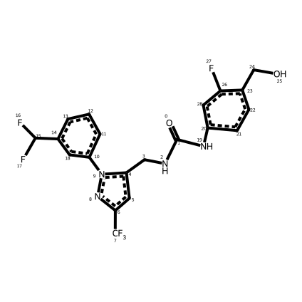 O=C(NCc1cc(C(F)(F)F)nn1-c1cccc(C(F)F)c1)Nc1ccc(CO)c(F)c1